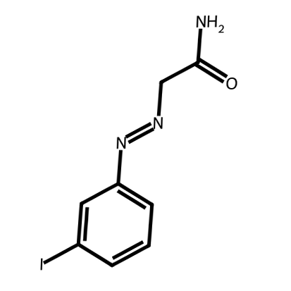 NC(=O)CN=Nc1cccc(I)c1